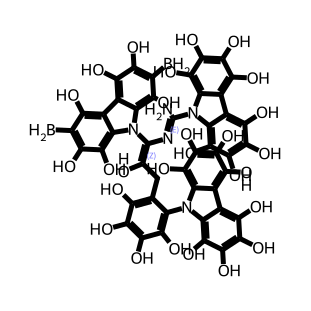 Bc1c(O)c(O)c2c(c1O)c1c(O)c(O)c(B)c(O)c1n2C(/N=C(\N)n1c2c(O)c(O)c(O)c(O)c2c2c(O)c(O)c(O)c(O)c21)=C(\O)Cc1c(O)c(O)c(O)c(O)c1-n1c2c(O)c(O)c(O)c(O)c2c2c(O)c(O)c(O)c(O)c21